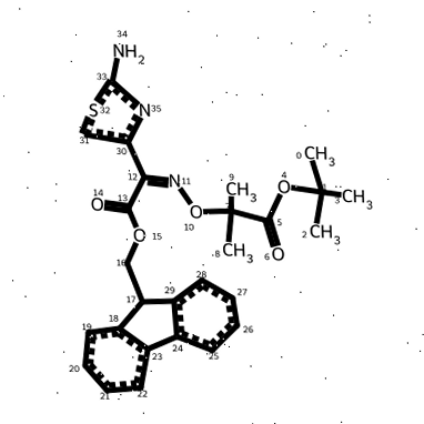 CC(C)(C)OC(=O)C(C)(C)ON=C(C(=O)OCC1c2ccccc2-c2ccccc21)c1csc(N)n1